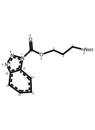 CCCCCCCCCCCCOC(=O)n1nnc2ccccc21